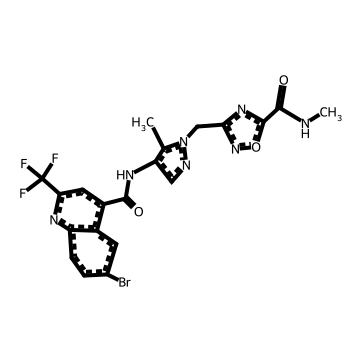 CNC(=O)c1nc(Cn2ncc(NC(=O)c3cc(C(F)(F)F)nc4ccc(Br)cc34)c2C)no1